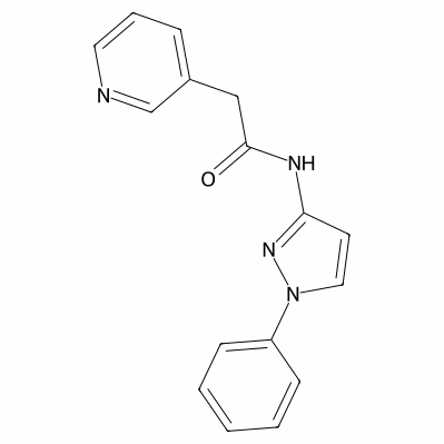 O=C(Cc1cccnc1)Nc1ccn(-c2ccccc2)n1